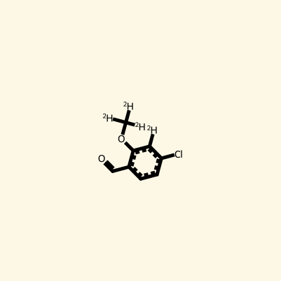 [2H]c1c(Cl)ccc(C=O)c1OC([2H])([2H])[2H]